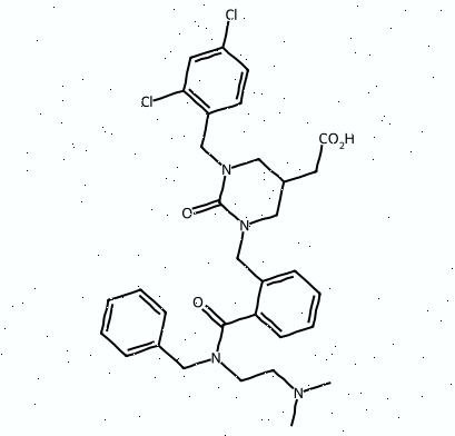 CN(C)CCN(Cc1ccccc1)C(=O)c1ccccc1CN1CC(CC(=O)O)CN(Cc2ccc(Cl)cc2Cl)C1=O